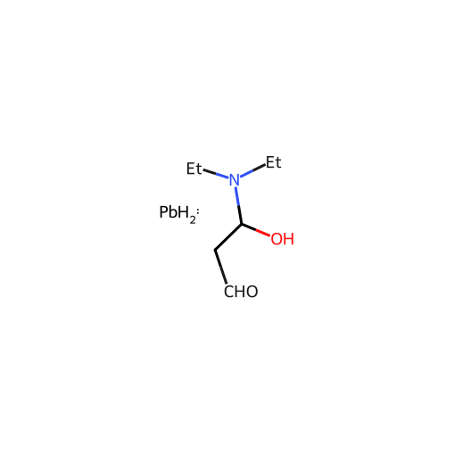 CCN(CC)C(O)CC=O.[PbH2]